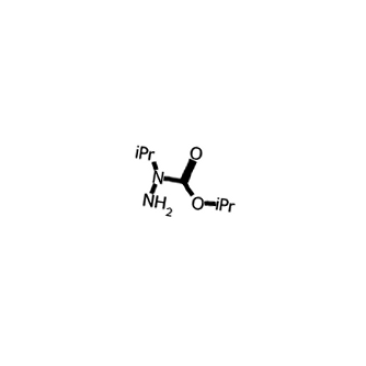 CC(C)OC(=O)N(N)C(C)C